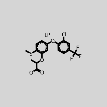 CSc1ccc(Oc2ccc(C(F)(F)F)cc2Cl)cc1OC(C)C(=O)[O-].[Li+]